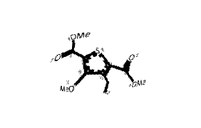 COC(=O)c1sc(C(=O)OC)c(OC)c1C